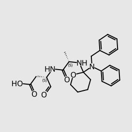 C[C@H](NC1(N(Cc2ccccc2)c2ccccc2)CCCCO1)C(=O)N[C@H](C=O)CC(=O)O